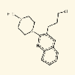 CN1CCN(c2nc3ccccc3cc2CCCCl)CC1